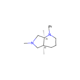 CC(C)N1CCC[C@@]2(C)CN(C)C[C@@]12C